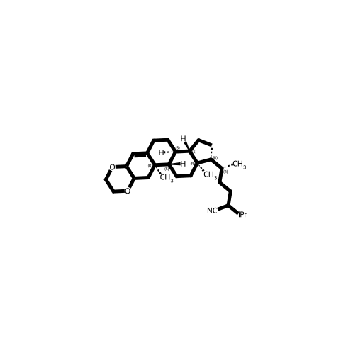 CC(C)C(C#N)CC[C@@H](C)[C@H]1CC[C@H]2[C@@H]3CCC4=CC5OCCOC5C[C@]4(C)[C@H]3CC[C@]12C